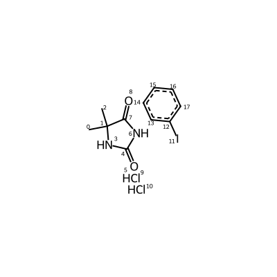 CC1(C)NC(=O)NC1=O.Cl.Cl.Ic1ccccc1